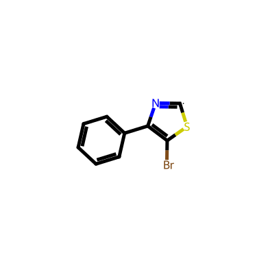 Brc1s[c]nc1-c1ccccc1